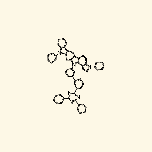 c1ccc(-c2nc(-c3ccccc3)nc(-c3cccc(-c4cccc(-n5c6cc7c(cc6c6ccc8c(ccn8-c8ccccc8)c65)c5ccccc5n7-c5ccccc5)c4)c3)n2)cc1